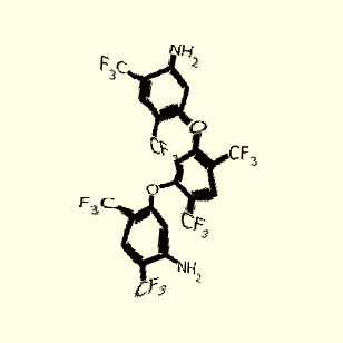 Nc1cc(Oc2cc(Oc3cc(N)c(C(F)(F)F)cc3C(F)(F)F)c(C(F)(F)F)cc2C(F)(F)F)c(C(F)(F)F)cc1C(F)(F)F